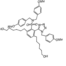 COc1ccc(CN(Cc2ccc(OC)cc2)S(=O)(=O)c2c(CCCCCCO)ccc(CCCCCCO)c2-c2nnnn2Cc2ccc(OC)cc2)cc1